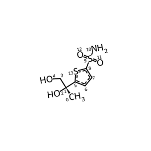 C[C@@](O)(CO)c1ccc(S(N)(=O)=O)s1